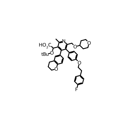 Cc1nc(COC2CCOCC2)c(-c2ccc(OCCc3ccc(F)cc3)cc2)c(-c2ccc3c(c2)CCCO3)c1C(OC(C)(C)C)C(=O)O